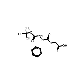 CC(C)(C)OC(=O)NNC(=O)NCC(=O)O.c1ccccc1